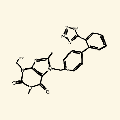 Cc1nc2c(c(=O)n(C)c(=O)n2CC(C)C)n1Cc1ccc(-c2ccccc2-c2nnn[nH]2)cc1